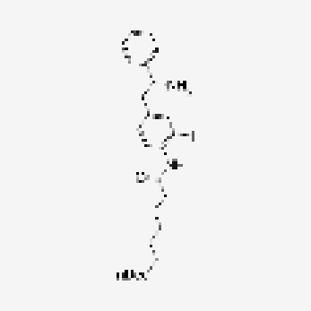 CCCCCCCCCCCCCCCC(=O)Nc1ccc(CC(N)c2ccccc2)cc1I